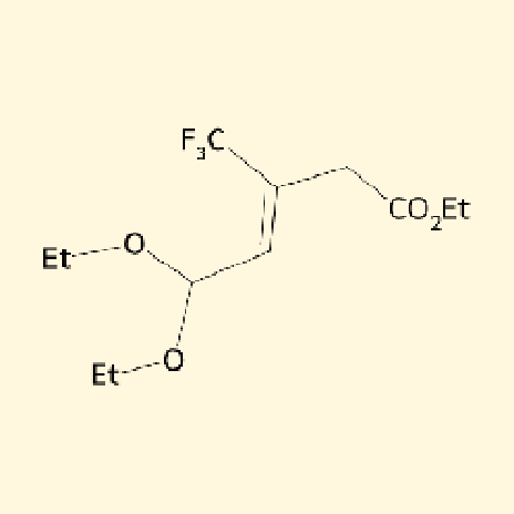 CCOC(=O)C/C(=C/C(OCC)OCC)C(F)(F)F